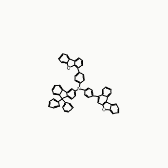 c1ccc(C2(c3ccccc3)c3ccccc3-c3cc(N(c4ccc(-c5cc6oc7ccccc7c6c6ccccc56)cc4)c4ccc(-c5cccc6c5oc5ccccc56)cc4)ccc32)cc1